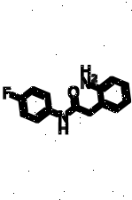 Nc1ccccc1CC(=O)Nc1ccc(F)cc1